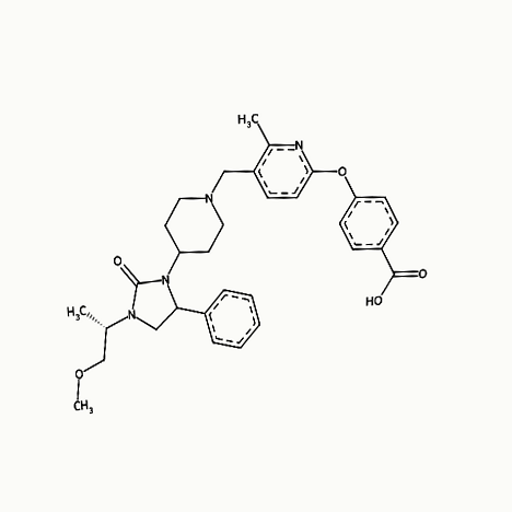 COC[C@H](C)N1CC(c2ccccc2)N(C2CCN(Cc3ccc(Oc4ccc(C(=O)O)cc4)nc3C)CC2)C1=O